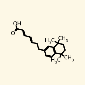 CC1(C)CCC(C)(C)c2cc(CC/C=C/C=C/C(=O)O)ccc21